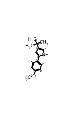 COc1ccc(-c2cc(C(C)(C)C)c[nH]2)cc1